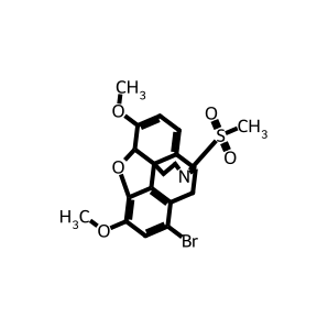 COC1=CC=C2C3Cc4c(Br)cc(OC)c5c4C2(CCN3S(C)(=O)=O)C1O5